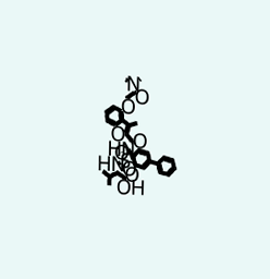 Cc1c(C(=O)NC2(S(=O)(=O)N[C@H](C(=O)O)C(C)C)C=CC(c3ccccc3)=CC2)oc2cccc(OCC(=O)N(C)C)c12